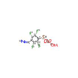 N#Cc1c(F)c(F)c(SOOO)c(F)c1F